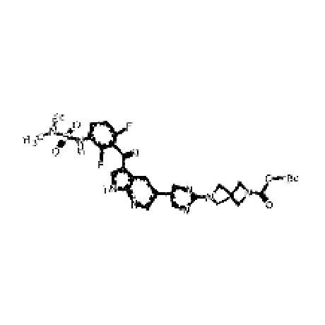 CCN(C)S(=O)(=O)Nc1ccc(F)c(C(=O)c2c[nH]c3ncc(-c4cnc(N5CC6(CN(C(=O)OC(C)(C)C)C6)C5)nc4)cc23)c1F